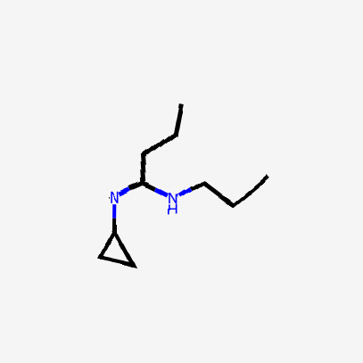 CCCNC(CCC)[N]C1CC1